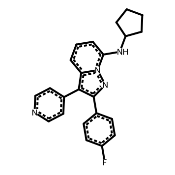 Fc1ccc(-c2nn3c(NC4CCCC4)cccc3c2-c2ccncc2)cc1